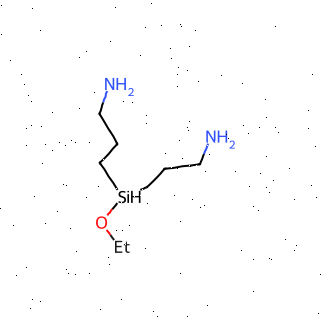 CCO[SiH](CCCN)CCCN